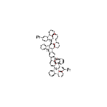 CC(C)c1ccc(N(c2ccccc2-c2ccccc2)c2ccc3c4cc5c(cc4n4c6ccccc6c2c34)c2ccc(N(c3ccccc3-c3ccccc3)c3ccc(C(C)C)cc3-c3ccccc3)c3c4ccccc4n5c23)c(-c2ccccc2)c1